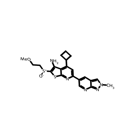 COCC[S@+]([O-])c1sc2nc(-c3cnc4nn(C)cc4c3)cc(C3CCC3)c2c1N